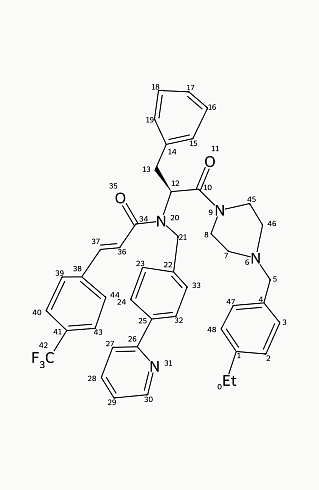 CCc1ccc(CN2CCN(C(=O)[C@H](Cc3ccccc3)N(Cc3ccc(-c4ccccn4)cc3)C(=O)/C=C/c3ccc(C(F)(F)F)cc3)CC2)cc1